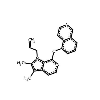 C=CCn1c(C)c(C)c2ccnc(Oc3cccc4cnccc34)c21